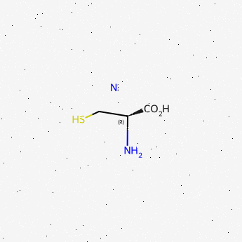 N[C@@H](CS)C(=O)O.[N]